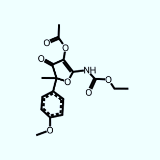 CCOC(=O)NC1=C(OC(C)=O)C(=O)C(C)(c2ccc(OC)cc2)O1